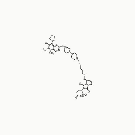 CC(=O)c1c(C)c2cnc(Nc3ccc(N4CCN(CCCCCCCSc5cccc6c5C(=O)N(C5CCC(=O)NC5=O)C6=O)CC4)cn3)nc2n(C2CCCC2)c1=O